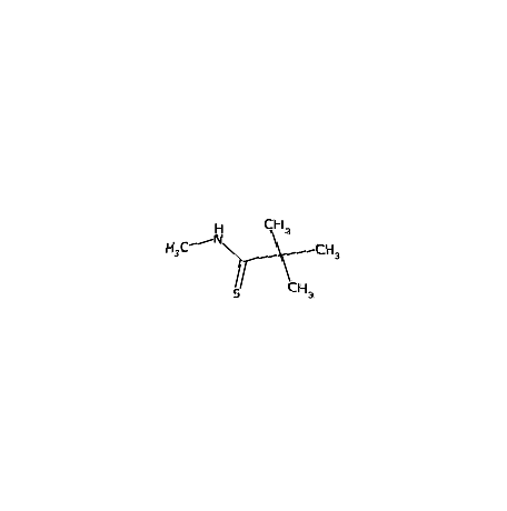 CNC(=S)C(C)(C)C